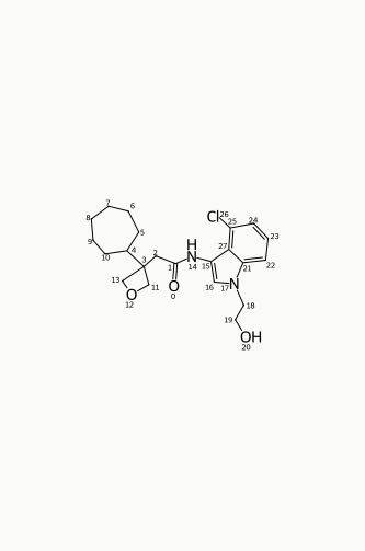 O=C(CC1(C2CCCCCC2)COC1)Nc1cn(CCO)c2cccc(Cl)c12